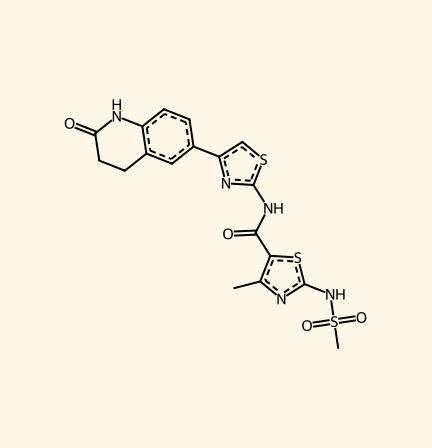 Cc1nc(NS(C)(=O)=O)sc1C(=O)Nc1nc(-c2ccc3c(c2)CCC(=O)N3)cs1